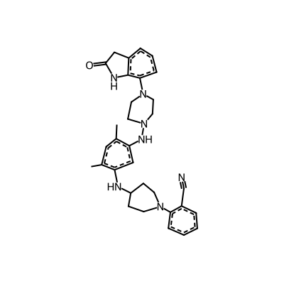 Cc1cc(C)c(NN2CCN(c3cccc4c3NC(=O)C4)CC2)cc1NC1CCN(c2ccccc2C#N)CC1